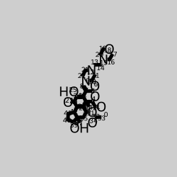 COCC1OC(=O)C(=CN2CCN(CCN3CCOCC3)CC2)C2=C(O)C(=O)C3=C(C(OC(C)=O)CC4(C)C(O)CCC34)C21C